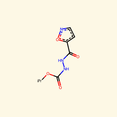 CC(C)OC(=O)NNC(=O)c1ccno1